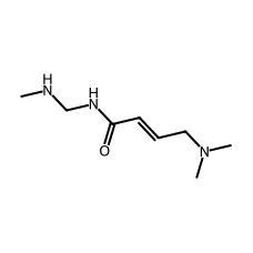 CNCNC(=O)/C=C/CN(C)C